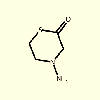 NN1CCSC(=O)C1